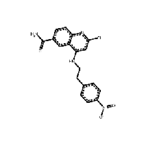 NC(=O)c1ccc2nc(Cl)cc(NCCc3ccc([N+](=O)[O-])cc3)c2c1